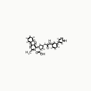 Cc1nc(N2C[C@@H](CC(=O)Nc3cccc(-c4cn[nH]c4)c3)C[C@@H]2C(=O)O)c2oc3ccccc3c2n1